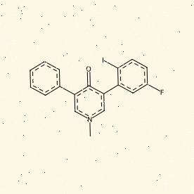 Cn1cc(-c2ccccc2)c(=O)c(-c2cc(F)ccc2I)c1